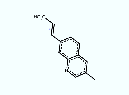 Cc1cnc2cc(/C=C/C(=O)O)ccc2c1